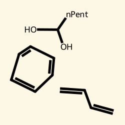 C=CC=C.CCCCCC(O)O.c1ccccc1